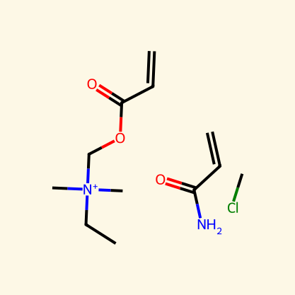 C=CC(=O)OC[N+](C)(C)CC.C=CC(N)=O.CCl